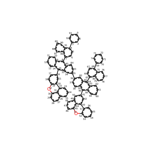 c1ccc(-c2ccc(-c3c4ccccc4c(-c4ccc5c(c4)-c4cccc6cccc(c46)O5)c4cc(-c5ccc6c(-c7cc8c9c(cccc9c7)Oc7ccccc7-8)c7ccccc7c(-c7ccc(-c8ccccc8)c8ccccc78)c6c5)ccc34)c3ccccc23)cc1